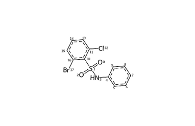 O=S(=O)(Nc1ccccc1)c1c(Cl)cccc1Br